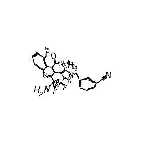 Cc1c(-c2c(C(N)=O)nc3cccc(F)c3c2C(N)=O)c(C(F)(F)F)nn1Cc1cccc(C#N)c1